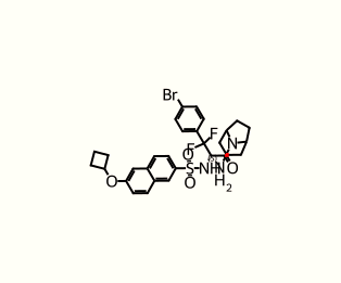 NC1CC2CCC(C1)N2C(=O)[C@H](NS(=O)(=O)c1ccc2cc(OC3CCC3)ccc2c1)C(F)(F)c1ccc(Br)cc1